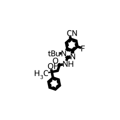 CC(C)(C)n1c(NC(=O)C[C@@](C)(O)c2ccccc2)nc2c(F)cc(C#N)cc21